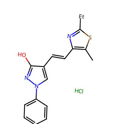 CCc1nc(C=Cc2cn(-c3ccccc3)nc2O)c(C)s1.Cl